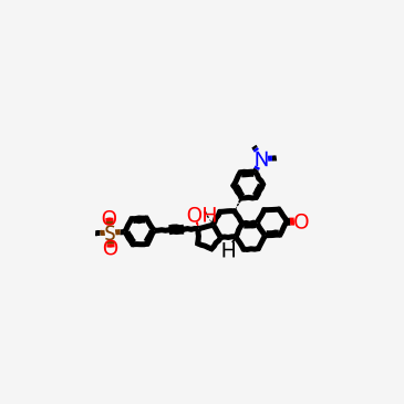 CN(C)c1ccc([C@H]2C[C@@]3(C)C(CC[C@@]3(O)C#Cc3ccc(S(C)(=O)=O)cc3)[C@@H]3CCC4=CC(=O)CCC4=C32)cc1